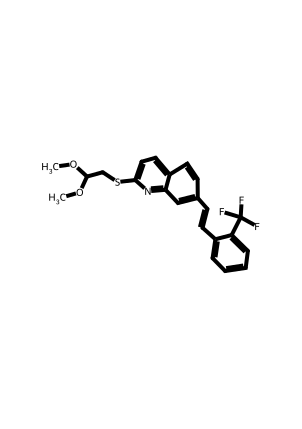 COC(CSc1ccc2ccc(C=Cc3ccccc3C(F)(F)F)cc2n1)OC